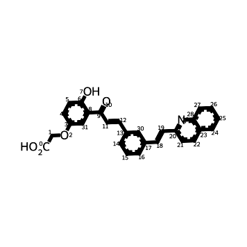 O=C(O)COc1ccc(O)c(C(=O)/C=C/c2cccc(/C=C/c3ccc4ccccc4n3)c2)c1